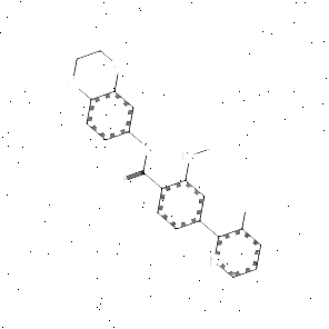 CNc1cc(-c2ncccc2Cl)ccc1C(=O)Nc1ccc2c(c1)OCCO2